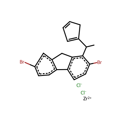 CC(C1=CC=CC1)c1c(Br)ccc2c1Cc1cc(Br)ccc1-2.[Cl-].[Cl-].[Zr+2]